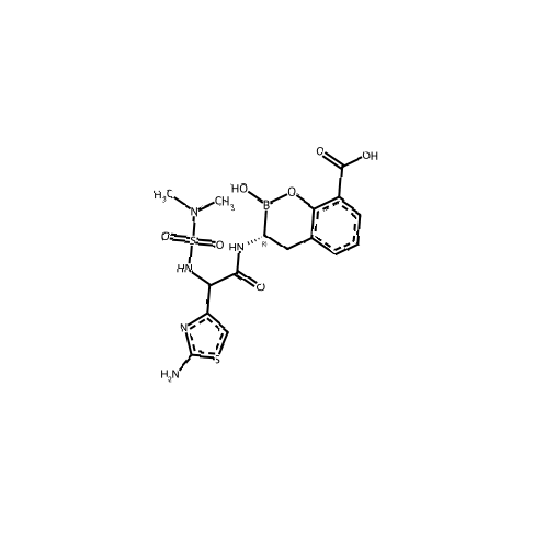 CN(C)S(=O)(=O)NC(C(=O)N[C@H]1Cc2cccc(C(=O)O)c2OB1O)c1csc(N)n1